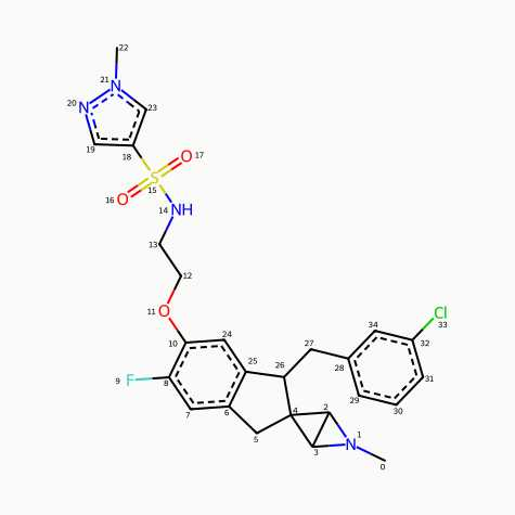 CN1C2C1C21Cc2cc(F)c(OCCNS(=O)(=O)c3cnn(C)c3)cc2C1Cc1cccc(Cl)c1